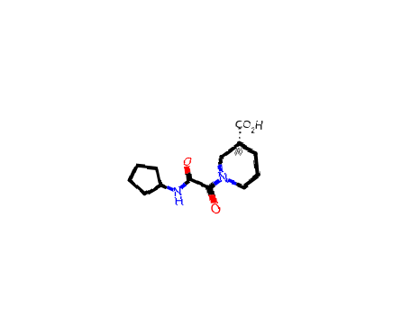 O=C(NC1CCCC1)C(=O)N1CCC[C@@H](C(=O)O)C1